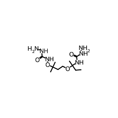 CCC(C)(NC(=O)NN)OCCC(C)(C)ONC(=O)NN